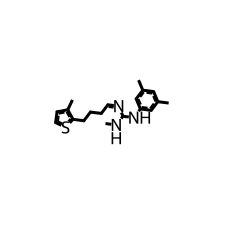 CNC(/N=C\CCCc1sccc1C)Nc1cc(C)cc(C)c1